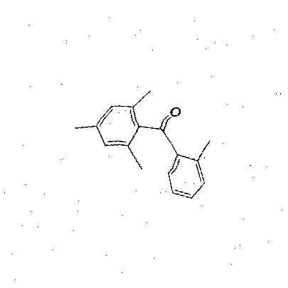 Cc1cc(C)c(C(=O)c2ccccc2C)c(C)c1